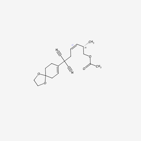 CC(=O)OC[C@@H](C)/C=C\CC(C#N)(C#N)C1=CCC2(CC1)OCCO2